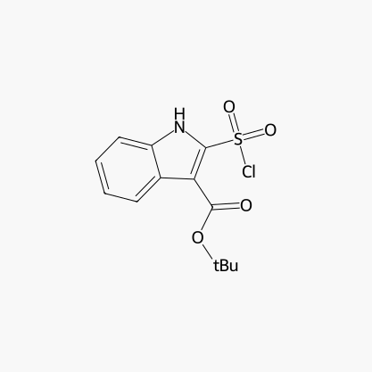 CC(C)(C)OC(=O)c1c(S(=O)(=O)Cl)[nH]c2ccccc12